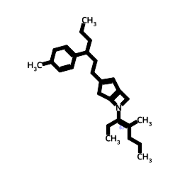 CCC/C(C)=C(\CC)N1CC2=C1CC(CCC(CCC)C1=CCC(C)C=C1)=C2